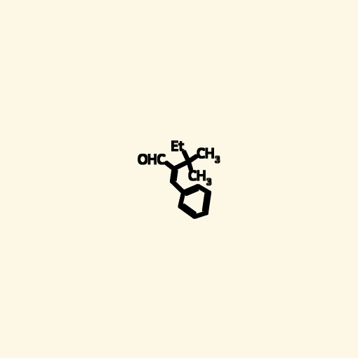 CCC(C)(C)C(C=O)=Cc1ccccc1